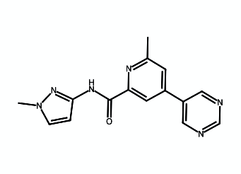 Cc1cc(-c2cncnc2)cc(C(=O)Nc2ccn(C)n2)n1